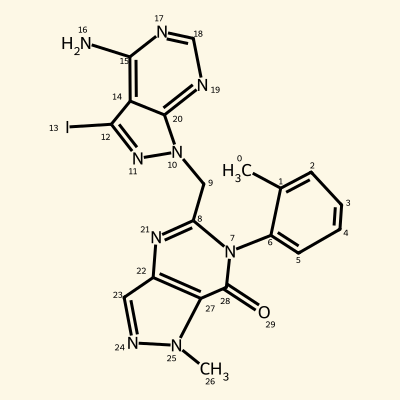 Cc1ccccc1-n1c(Cn2nc(I)c3c(N)ncnc32)nc2cnn(C)c2c1=O